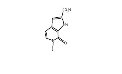 Cn1ccc2cc(C(=O)O)[nH]c2c1=O